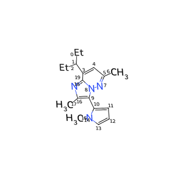 CCC(CC)c1cc(C)nn2c(-c3cccn3C)c(C)nc12